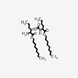 CCCCCCCCCOC(=O)C(CCCC)NC(=O)O.CCCCCCCCCOC(=O)C(N)CCCC